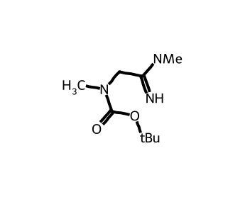 CNC(=N)CN(C)C(=O)OC(C)(C)C